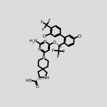 Nc1nc(O[C@H](c2ccc(Cl)cc2-c2ccc(C(F)(F)F)c(Cl)c2)C(F)(F)F)cc(N2CCC3(CC2)CN[C@H](C(=O)O)C3)n1